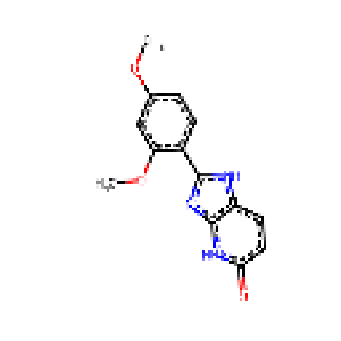 COc1ccc(-c2nc3[nH]c(=O)ccc3[nH]2)c(OC)c1